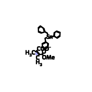 COC(=O)/C(C)=C(/C)C(=O)[O-].c1ccc([CH2][Sn+]([CH2]c2ccccc2)[CH2]c2ccccc2)cc1